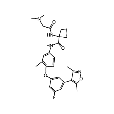 Cc1cc(NC(=O)C2(NC(=O)CN(C)C)CCC2)ccc1Oc1cc(F)cc(-c2c(C)noc2C)c1